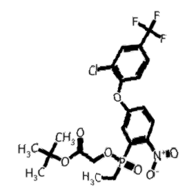 CCP(=O)(OCC(=O)OC(C)(C)C)c1cc(Oc2ccc(C(F)(F)F)cc2Cl)ccc1[N+](=O)[O-]